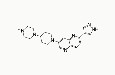 CN1CCN(C2CCN(c3cnc4ccc(-c5cn[nH]c5)nc4c3)CC2)CC1